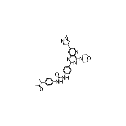 CC(=O)N(C)c1ccc(NC(=O)Nc2ccc(-c3nc(N4CCOCC4)c4ncc(C5C=NN(C)C5)cc4n3)cc2)cc1